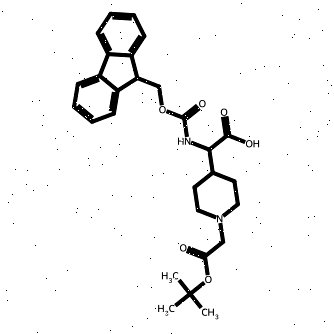 CC(C)(C)OC(=O)CN1CCC(C(NC(=O)OCC2c3ccccc3-c3ccccc32)C(=O)O)CC1